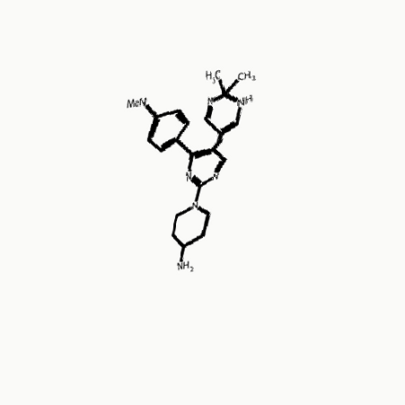 CNc1ccc(-c2nc(N3CCC(N)CC3)ncc2C2=CNC(C)(C)N=C2)cc1